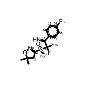 CC1(C)CC(S(=O)(=O)C(F)(F)C(=N)c2ccc(F)cc2)=NO1